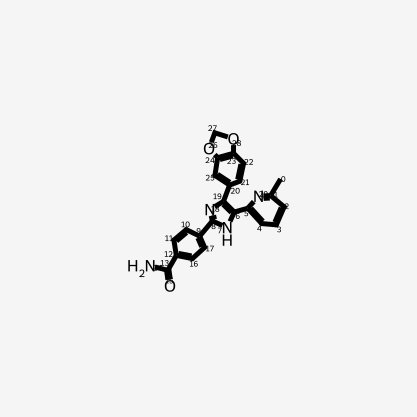 Cc1cccc(-c2[nH]c(-c3ccc(C(N)=O)cc3)nc2-c2ccc3c(c2)OCO3)n1